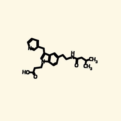 CC(C)CC(=O)NCCc1ccc2c(c1)c(Cc1cccnc1)cn2CCC(=O)O